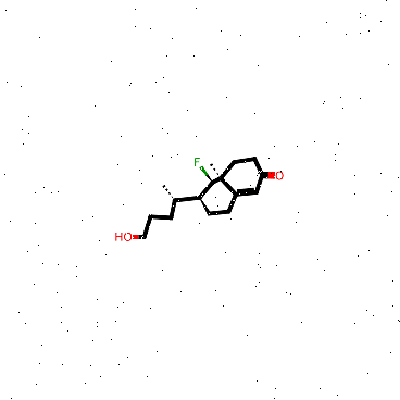 C[C@@H](CCCO)[C@@H]1CCC2=CC(=O)CC[C@]2(C)[C@@H]1F